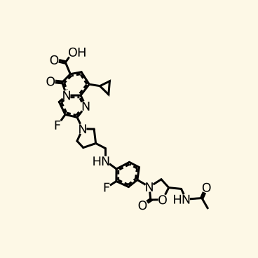 CC(=O)NCC1CN(c2ccc(NCC3CCN(c4nc5c(C6CC6)cc(C(=O)O)c(=O)n5cc4F)C3)c(F)c2)C(=O)O1